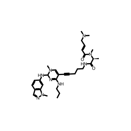 CCCNC1=NC(Nc2ccc3cnn(C)c3c2)N(C)C=C1C#CCCCNC(=O)[C@H](C)N(C)C(=O)/C=C/CN(C)C